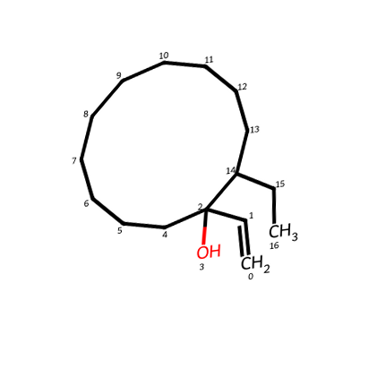 C=CC1(O)CCCCCCCCCCC1CC